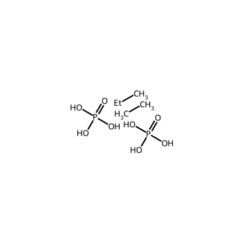 CC.CCC.O=P(O)(O)O.O=P(O)(O)O